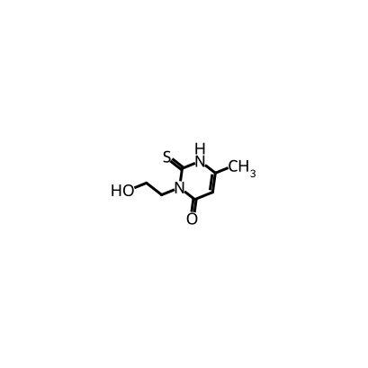 Cc1cc(=O)n(CCO)c(=S)[nH]1